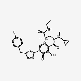 CCNC(=O)[C@@]1(C)CN([C@@H](C)C2CC2)C(=O)c2c(O)c(=O)c(-c3ncc(Cc4ccc(F)cc4)s3)cn21